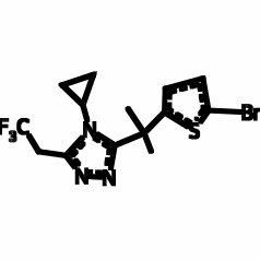 CC(C)(c1ccc(Br)s1)c1nnc(CC(F)(F)F)n1C1CC1